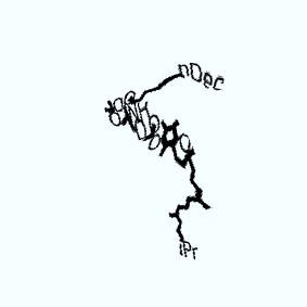 CCCCCCCCCCCCCCCC(=O)NC1(COCC(=O)Oc2c(C)c(C)c3c(c2C)CCC(C)(CCCC(C)CCCC(C)CCCC(C)C)O3)COC(C)(C)OC1